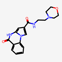 O=C(NCCN1CCOCC1)c1cc2[nH]c(=O)c3ccccc3n2c1